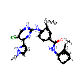 COc1cc(C(=O)Nc2ccccc2C)ccc1Nc1ncc(Cl)c(-c2ccn(C(C)C)n2)n1